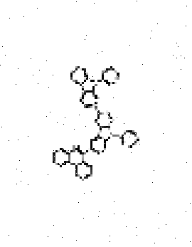 c1ccc(-n2c3ccc(-c4ccc5c6ccccc6n(-c6ccccc6)c5c4)cc3c3cc(-c4nc5ccccc5c5ccccc45)ccc32)cc1